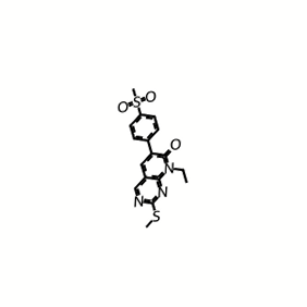 CCn1c(=O)c(-c2ccc(S(C)(=O)=O)cc2)cc2cnc(SC)nc21